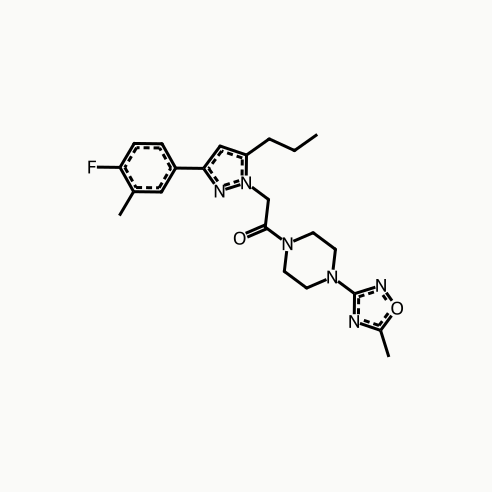 CCCc1cc(-c2ccc(F)c(C)c2)nn1CC(=O)N1CCN(c2noc(C)n2)CC1